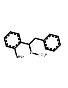 CCCCCCc1ccccc1C(Cc1ccccc1)OC(=O)O